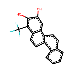 Oc1cc2c(ccc3c4ccccc4ccc23)c(C(F)(F)F)c1O